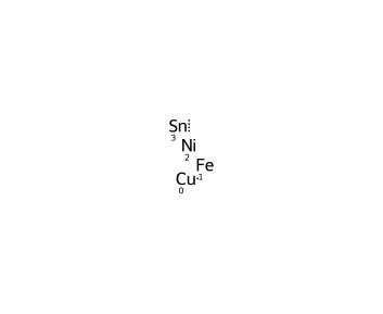 [Cu].[Fe].[Ni].[Sn]